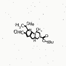 CO[C@@H](C)c1nc2c(cc1C=O)C[C@@H]1CN(C(=O)OC(C)(C)C)C[C@@H](C)N21